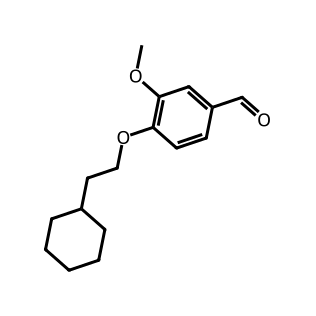 COc1cc(C=O)ccc1OCCC1CCCCC1